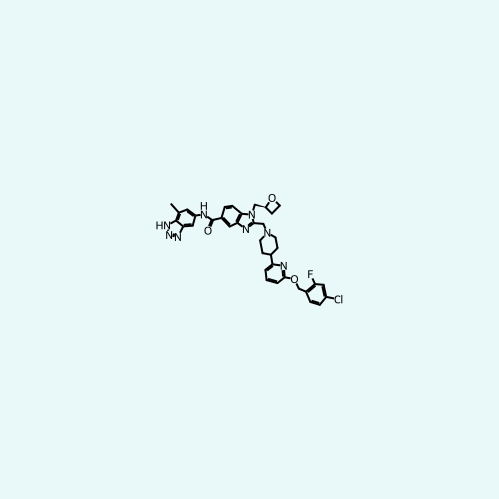 Cc1cc(NC(=O)c2ccc3c(c2)nc(CN2CCC(c4cccc(OCc5ccc(Cl)cc5F)n4)CC2)n3C[C@@H]2CCO2)cc2nn[nH]c12